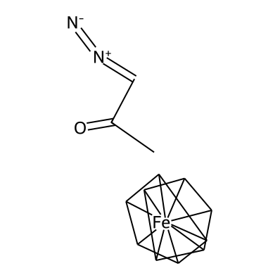 CC(=O)C=[N+]=[N-].[CH]12[CH]3[CH]4[CH]5[CH]1[Fe]23451678[CH]2[CH]1[CH]6[CH]7[CH]28